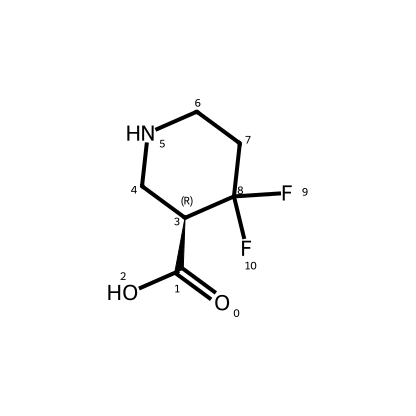 O=C(O)[C@H]1CNCCC1(F)F